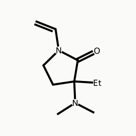 C=CN1CCC(CC)(N(C)C)C1=O